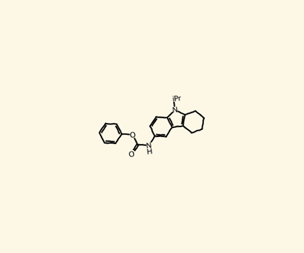 CC(C)n1c2c(c3cc(NC(=O)Oc4ccccc4)ccc31)CCCC2